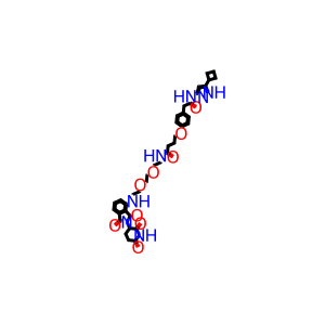 O=C(CCCOc1ccc(CC(=O)Nc2cc(C3CCC3)[nH]n2)cc1)NCCOCCOCCNc1cccc2c1C(=O)N(C1CCC(=O)NC1=O)C2=O